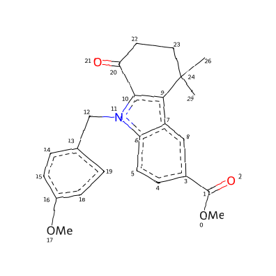 COC(=O)c1ccc2c(c1)c1c(n2Cc2ccc(OC)cc2)C(=O)CCC1(C)C